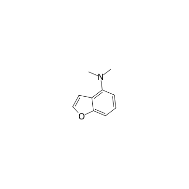 CN(C)c1cccc2occc12